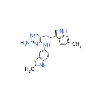 Cc1ccc2c(CCc3cnc(N)nc3Nc3ccc4[nH]c(C)cc4c3)c[nH]c2c1